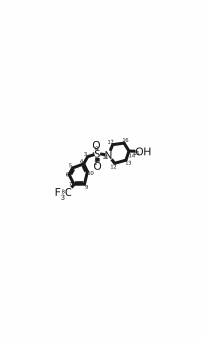 O=S(=O)(Cc1ccc(C(F)(F)F)cc1)N1CCC(O)CC1